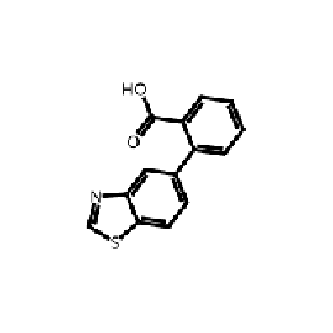 O=C(O)c1ccccc1-c1ccc2scnc2c1